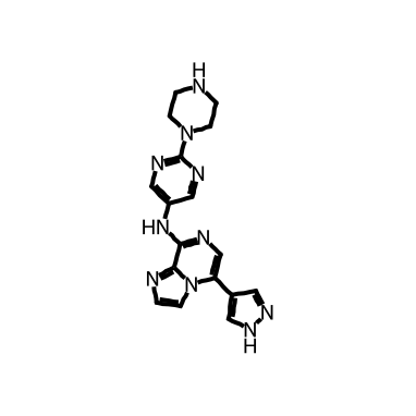 c1cn2c(-c3cn[nH]c3)cnc(Nc3cnc(N4CCNCC4)nc3)c2n1